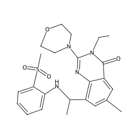 CCn1c(N2CCOCC2)nc2c(C(C)Nc3ccccc3S(C)(=O)=O)cc(C)cc2c1=O